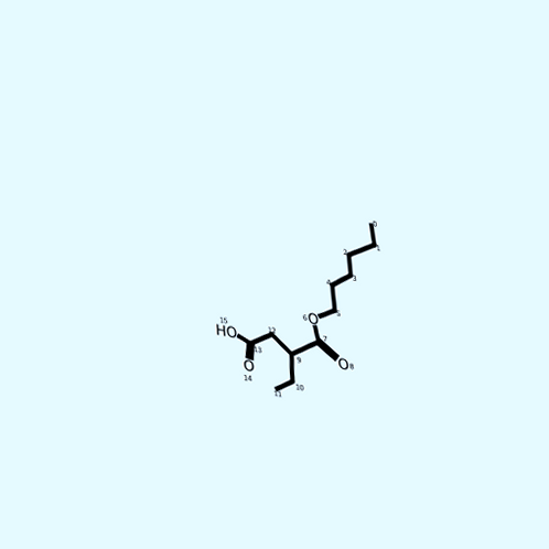 CCCCCCOC(=O)C(CC)CC(=O)O